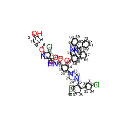 C[C@]1(O)CC[C@H](COc2ncc(S(=O)(=O)NC(=O)c3ccc(N4CCN(CC5=C(c6ccc(Cl)cc6)CCC(F)(F)C5)CC4)cc3Oc3cccc4c3cnn4C(c3ccccc3)(c3ccccc3)c3ccccc3)cc2Cl)CC1